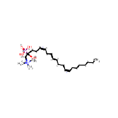 CCCCCCC/C=C\CCCCCC/C=C\CCC(O)(C[N+](C)(C)C)P(=O)(O)O